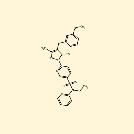 CCN(c1ccccc1)S(=O)(=O)c1ccc(-n2[nH]c(C)c(Cc3cccc(OC)c3)c2=O)nc1